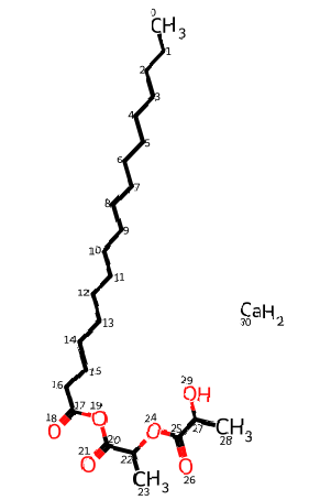 CCCCCCCCCCCCCCCCCC(=O)OC(=O)C(C)OC(=O)C(C)O.[CaH2]